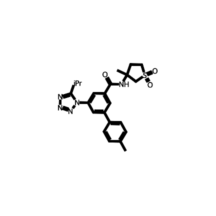 Cc1ccc(-c2cc(C(=O)NC3(C)CCS(=O)(=O)C3)cc(-n3nnnc3C(C)C)c2)cc1